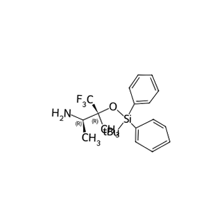 C[C@@H](N)[C@@](C)(O[Si](c1ccccc1)(c1ccccc1)C(C)(C)C)C(F)(F)F